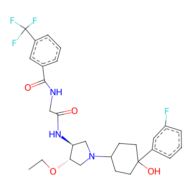 CCO[C@H]1CN(C2CCC(O)(c3cccc(F)c3)CC2)C[C@@H]1NC(=O)CNC(=O)c1cccc(C(F)(F)F)c1